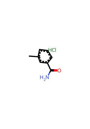 Cc1cccc(C(N)=O)c1.Cl